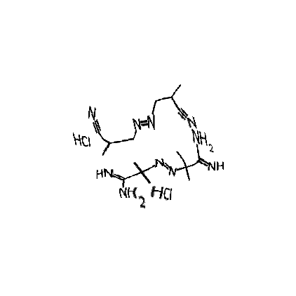 CC(C#N)CN=NCC(C)C#N.CC(C)(N=NC(C)(C)C(=N)N)C(=N)N.Cl.Cl